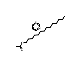 CCCCCCCCCCCCCCOC(C)=O.c1cncnc1